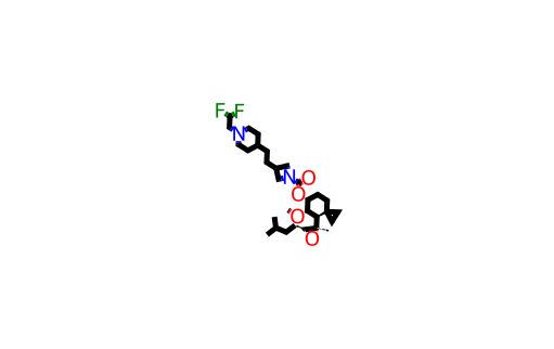 CO[C@@H]1[C@H](OC(=O)N2CC(CCC3CCN(CC(F)F)CC3)C2)CCC2(CC2)[C@H]1[C@@]1(C)O[C@@H]1CCC(C)C